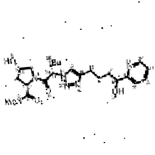 CNC(=O)[C@H]1C[C@H](O)CN1C(=O)[C@@H](n1cc(CCCC(O)c2ccccn2)nn1)C(C)(C)C